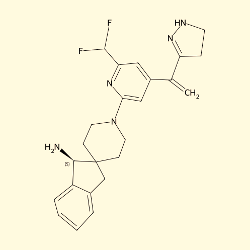 C=C(C1=NNCC1)c1cc(C(F)F)nc(N2CCC3(CC2)Cc2ccccc2[C@H]3N)c1